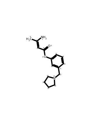 C/C(N)=C/C(=O)Oc1cccc(CN2CCCC2)c1